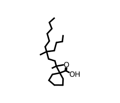 CCCCCCC(C)(CCCC)CCC(C)(C)C1(C(=O)O)CCCCC1